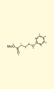 COC(=O)CCCOc1ccccc1